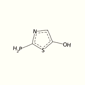 Oc1cnc(P)s1